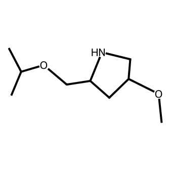 COC1CNC(COC(C)C)C1